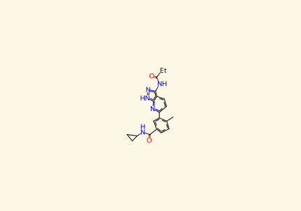 CCC(=O)Nc1n[nH]c2nc(-c3cc(C(=O)NC4CC4)ccc3C)ccc12